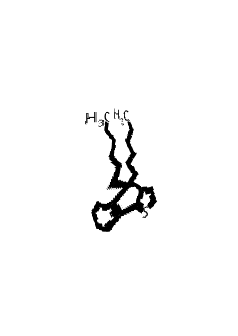 CCCCCCC1(CCCCCC)c2ccccc2-c2sccc21